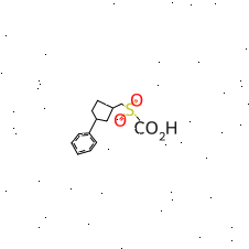 O=C(O)CS(=O)(=O)CC1CCC(c2ccccc2)C1